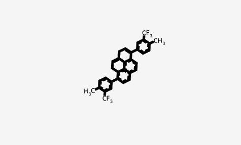 Cc1ccc(C2=CCC3=CCc4c(-c5ccc(C)c(C(F)(F)F)c5)ccc5ccc2c3c45)cc1C(F)(F)F